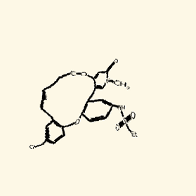 CCS(=O)(=O)Nc1ccc2c(c1)-c1cn(C)c(=O)cc1OCC/C=C/Cc1cc(Cl)ccc1O2